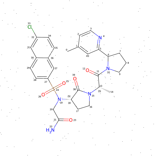 Cc1ccnc(C2CCCN2C(=O)[C@H](C)N2CC[C@H](N(CC(N)=O)S(=O)(=O)c3ccc4cc(Cl)ccc4c3)C2=O)c1